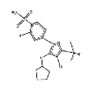 NS(=O)(=O)c1ccc(-n2nc(C(F)(F)F)c(Cl)c2OC2CCCC2)cc1F